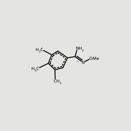 CO/N=C(\N)c1cc(C)c(C)c(C)c1